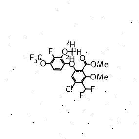 [2H]C([2H])([2H])Oc1c(Oc2cc(Cl)c(C(F)F)c(OC)c2C(=O)OC)ccc(OC(F)(F)F)c1F